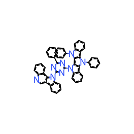 c1ccc(-c2nc(-n3c4ccccc4c4cnc5ccccc5c43)nc(-n3c4ccccc4c4c3c3c(c5ccccc5n3-c3ccccc3)n4-c3ccccc3)n2)cc1